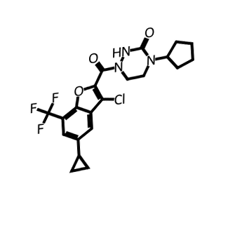 O=C(c1oc2c(C(F)(F)F)cc(C3CC3)cc2c1Cl)N1CCN(C2CCCC2)C(=O)N1